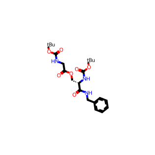 CC(C)(C)OC(=O)NCC(=O)OC[C@H](NC(=O)OC(C)(C)C)C(=O)NCc1ccccc1